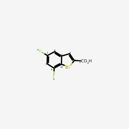 O=C(O)c1cc2cc(F)cc(F)c2s1